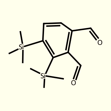 C[Si](C)(C)c1ccc(C=O)c(C=O)c1[Si](C)(C)C